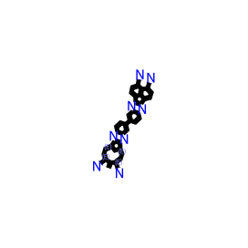 C=C1/C(C#N)=C\C=C2/C/C(=C\C=C/1C#N)c1nc3cc(-c4ccc5nc6c(nc5c4)-c4ccc(C#N)c5c(C#N)ccc-6c45)ccc3nc12